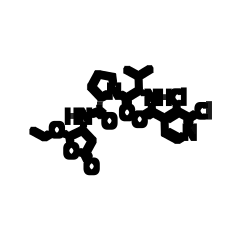 CCO[C@@H]1OC(=O)C[C@@H]1NC(=O)[C@@H]1CCCN1C(=O)[C@@H](NC(=O)c1ccnc(Cl)c1Cl)C(C)C